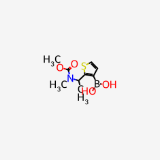 COC(=O)N(C)C(C)c1sccc1B(O)O